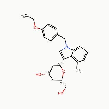 CCOc1ccc(Cn2cc([C@H]3C[C@@H](O)C[C@@H](CO)O3)c3c(C)cccc32)cc1